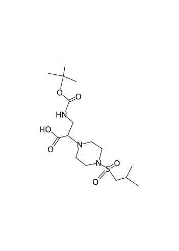 CC(C)CS(=O)(=O)N1CCN(C(CNC(=O)OC(C)(C)C)C(=O)O)CC1